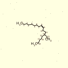 CCCCCCCC/C=C\CCC(CC)CCCCC